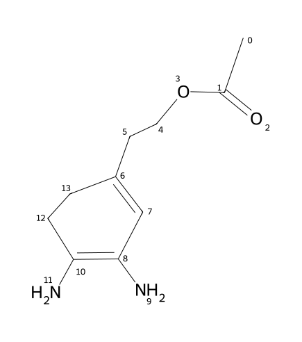 CC(=O)OCCC1=CC(N)=C(N)CC1